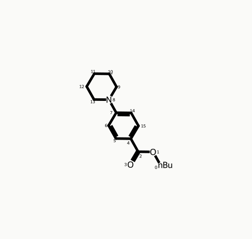 CCCCOC(=O)c1ccc(N2C[CH]CCC2)cc1